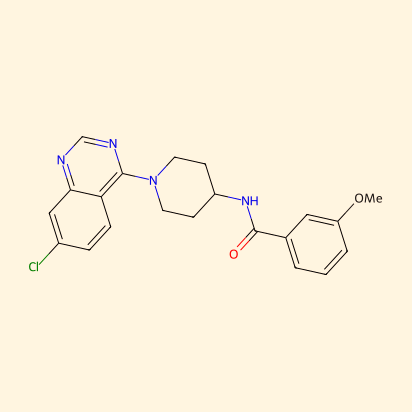 COc1cccc(C(=O)NC2CCN(c3ncnc4cc(Cl)ccc34)CC2)c1